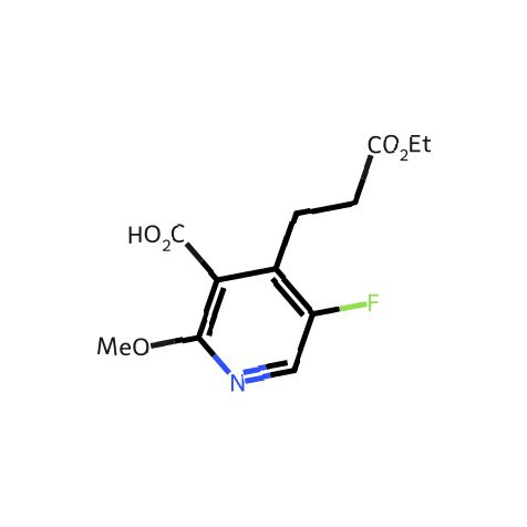 CCOC(=O)CCc1c(F)cnc(OC)c1C(=O)O